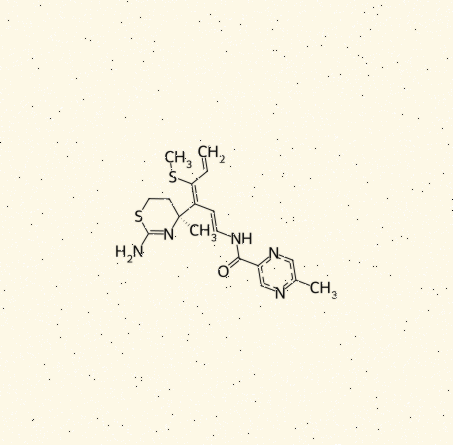 C=C/C(SC)=C(\C=C\NC(=O)c1cnc(C)cn1)[C@]1(C)CCSC(N)=N1